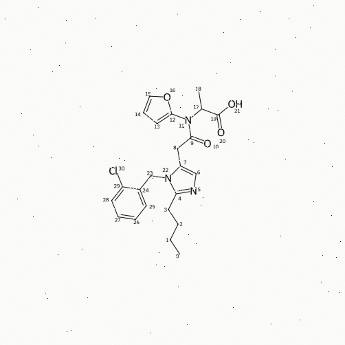 CCCCc1ncc(CC(=O)N(c2ccco2)C(C)C(=O)O)n1Cc1ccccc1Cl